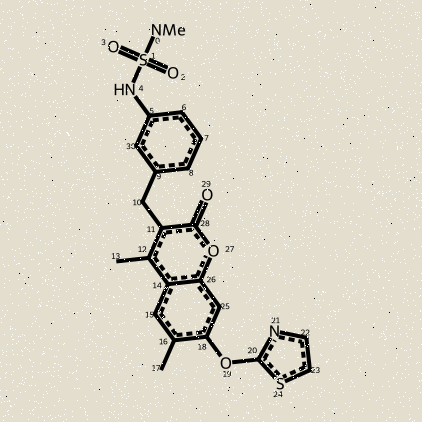 CNS(=O)(=O)Nc1cccc(Cc2c(C)c3cc(C)c(Oc4nccs4)cc3oc2=O)c1